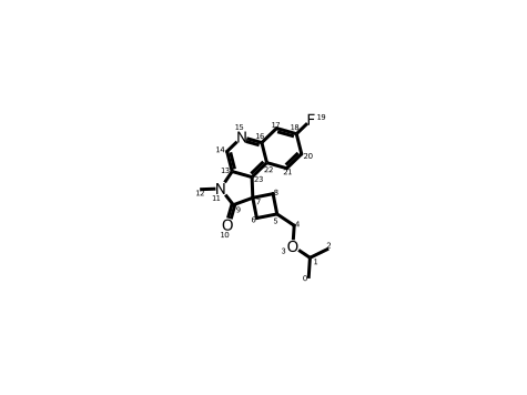 CC(C)OCC1CC2(C1)C(=O)N(C)c1cnc3cc(F)ccc3c12